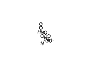 COc1ccc(CNc2cccc3c2c(=O)c2cccc([N+](=O)[O-])c2n3CCCN(C)C)cc1